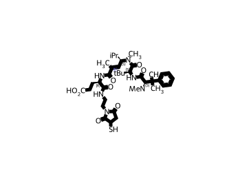 CN[C@H](C(=O)N[C@H](C(=O)N(C)[C@H](/C=C(\C)C(=O)N[C@H](CCC(=O)O)C(=O)NCCN1C(=O)CC(S)C1=O)C(C)C)C(C)(C)C)C(C)(C)c1ccccc1